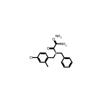 Cc1cc(Cl)ccc1CN(Cc1ccccc1)C(=O)C(N)=O.N